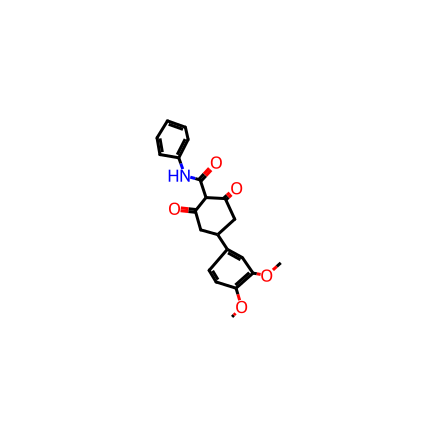 COc1ccc(C2CC(=O)C(C(=O)Nc3ccccc3)C(=O)C2)cc1OC